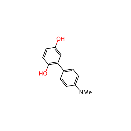 CNc1ccc(-c2cc(O)ccc2O)cc1